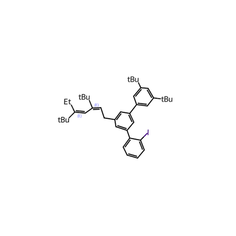 CC/C(=C\C(=C/Cc1cc(-c2cc(C(C)(C)C)cc(C(C)(C)C)c2)cc(-c2ccccc2I)c1)C(C)(C)C)C(C)(C)C